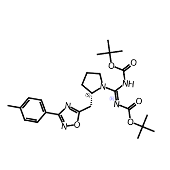 Cc1ccc(-c2noc(C[C@@H]3CCCN3/C(=N/C(=O)OC(C)(C)C)NC(=O)OC(C)(C)C)n2)cc1